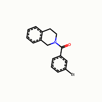 CCc1cccc(C(=O)N2CCc3ccccc3C2)c1